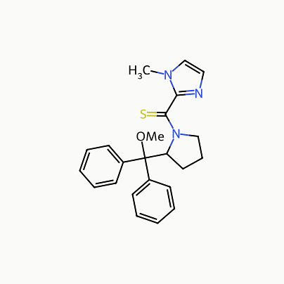 COC(c1ccccc1)(c1ccccc1)C1CCCN1C(=S)c1nccn1C